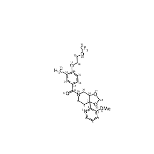 COc1cccnc1C12CCN(C(=O)c3ccc(OCCOC(F)(F)F)c(C)c3)CC1OCO2